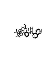 CCC(=O)Oc1c(Nc2nccc3cnccc23)cccc1NS(=O)(=O)N(C(C)C)C(C)C